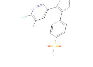 NS(=O)(=O)c1ccc(C2=C(c3cnc(Cl)c(C(F)(F)F)c3)CCC2)cc1